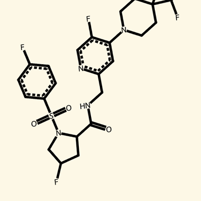 O=C(NCc1cc(N2CCC3(CC2)CC3(F)F)c(F)cn1)C1CC(F)CN1S(=O)(=O)c1ccc(F)cc1